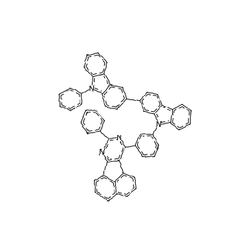 c1ccc(-c2nc(-c3cccc(-n4c5ccccc5c5ccc(-c6ccc7c(c6)c6ccccc6n7-c6ccccc6)cc54)c3)c3c(n2)-c2cccc4cccc-3c24)cc1